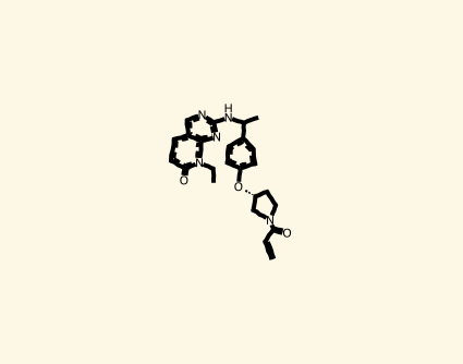 C=CC(=O)N1CC[C@@H](Oc2ccc(C(C)Nc3ncc4ccc(=O)n(CC)c4n3)cc2)C1